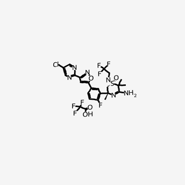 CC1(C)C(N)=N[C@](C)(c2cc(-c3cc(-c4ncc(Cl)cn4)no3)ccc2F)C[S@@]1(=O)=NCC(F)(F)F.O=C(O)C(F)(F)F